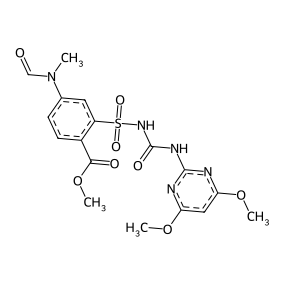 COC(=O)c1ccc(N(C)C=O)cc1S(=O)(=O)NC(=O)Nc1nc(OC)cc(OC)n1